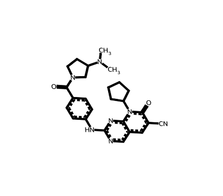 CN(C)C1CCN(C(=O)c2ccc(Nc3ncc4cc(C#N)c(=O)n(C5CCCC5)c4n3)cc2)C1